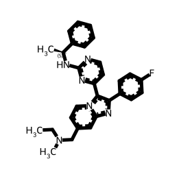 CCN(C)Cc1ccn2c(-c3ccnc(N[C@@H](C)c4ccccc4)n3)c(-c3ccc(F)cc3)nc2c1